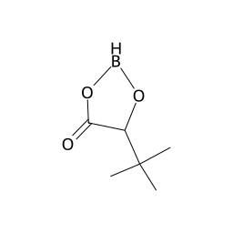 CC(C)(C)C1OBOC1=O